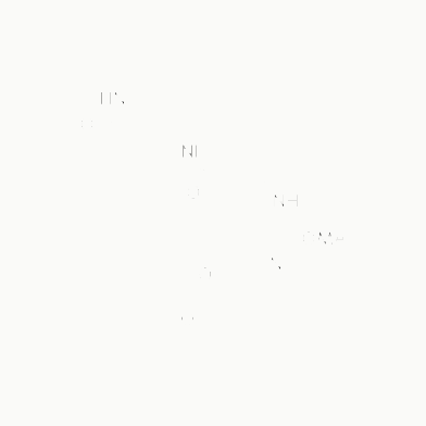 COc1nc(-c2cccc3c2OCCO3)ccc1Nc1cccc(C(=O)NCc2cc[nH]c(=O)c2)c1